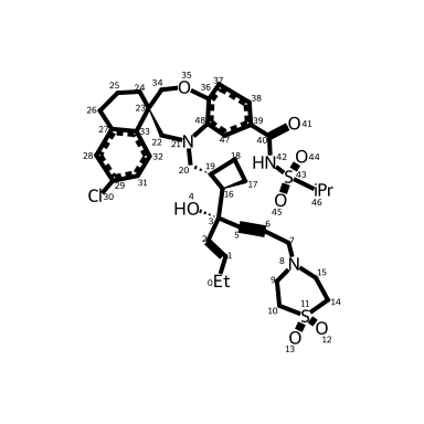 CC/C=C/[C@](O)(C#CCN1CCS(=O)(=O)CC1)[C@@H]1CC[C@H]1CN1C[C@@]2(CCCc3cc(Cl)ccc32)COc2ccc(C(=O)NS(=O)(=O)C(C)C)cc21